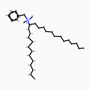 CCCCCCCCCCCCCC(CCCCCCCCCCCC)[N+](C)(C)Cc1ccccc1